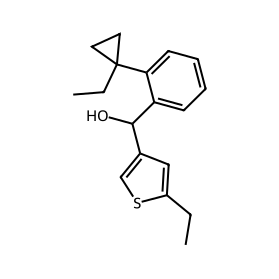 CCc1cc(C(O)c2ccccc2C2(CC)CC2)cs1